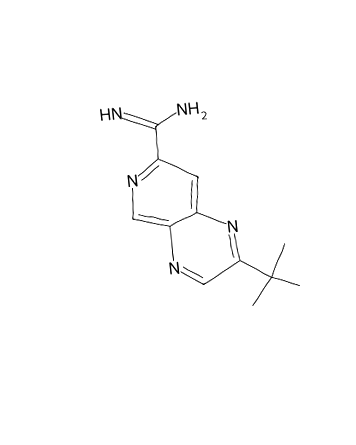 CC(C)(C)c1cnc2cnc(C(=N)N)cc2n1